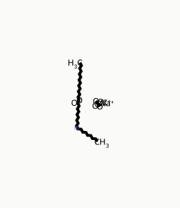 CCCCCCCC/C=C\CCCCCCCC(=O)OCCCCCCCCCCCCC.O=S(=O)([O-])[O-].[K+].[Na+]